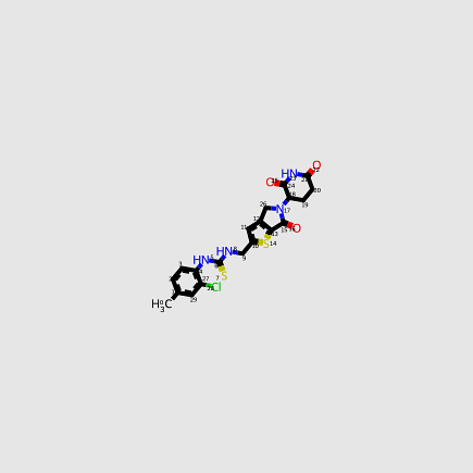 Cc1ccc(NC(=S)NCc2cc3c(s2)C(=O)N(C2CCC(=O)NC2=O)C3)c(Cl)c1